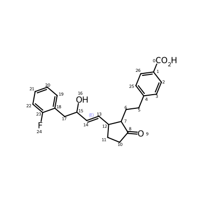 O=C(O)c1ccc(CCC2C(=O)CCC2/C=C/C(O)Cc2ccccc2F)cc1